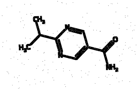 CC(C)c1ncc(C(N)=O)cn1